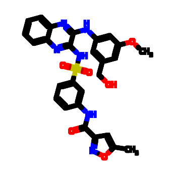 COc1cc(CO)cc(Nc2nc3ccccc3nc2NS(=O)(=O)c2cccc(NC(=O)c3cc(C)on3)c2)c1